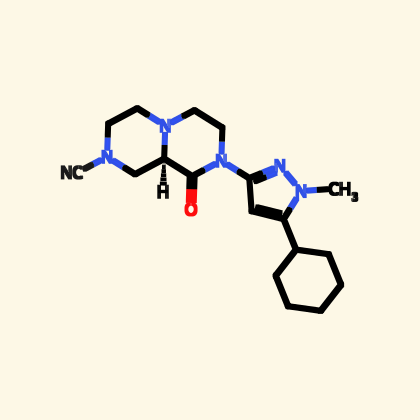 Cn1nc(N2CCN3CCN(C#N)C[C@@H]3C2=O)cc1C1CCCCC1